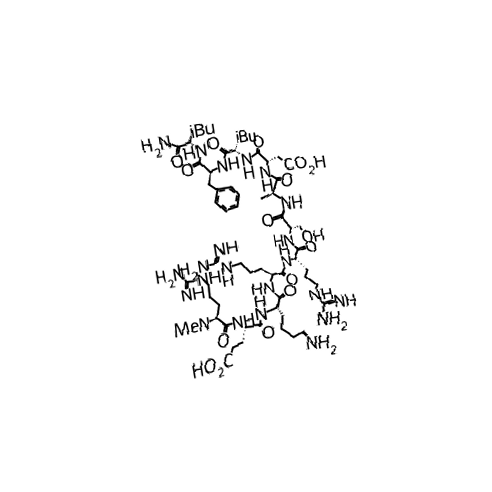 CC[C@H](C)[C@H](NC(=O)[C@H](Cc1ccccc1)NC(=O)[C@@H](NC(=O)[C@H](CC(=O)O)NC(=O)[C@H](C)NC(=O)[C@H](CO)NC(=O)[C@H](CCCNC(=N)N)NC(=O)[C@H](CCCNC(=N)N)NC(=O)[C@H](CCCCN)NC(=O)[C@H](CCC(=O)O)NC(=O)[C@H](CCCNC(=N)N)NC)[C@@H](C)CC)C(N)=O